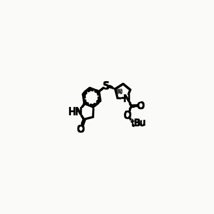 CC(C)(C)OC(=O)N1CC[C@H](Sc2ccc3c(c2)CC(=O)N3)C1